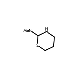 CNC1NCCCS1